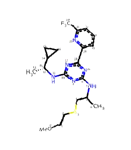 COCCSCC(C)Nc1nc(N[C@H](C)C2CC2)nc(-c2cccc(C(F)(F)F)n2)n1